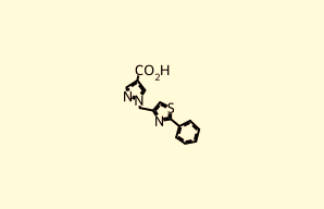 O=C(O)c1cnn(Cc2csc(-c3ccccc3)n2)c1